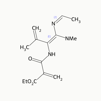 C=C(C(=O)N/C(C(=C)C)=C(/N=C\C)NC)C(=O)OCC